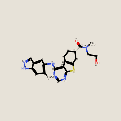 COc1cc2[nH]ncc2cc1Nc1ncnc2sc3c(c12)CC[C@H](C(=O)N(C)CCO)C3